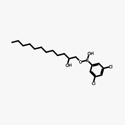 CCCCCCCCCCC(O)COB(O)c1cc(Cl)cc(Cl)c1